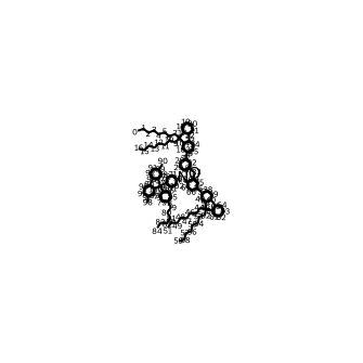 CCCCCCCCC1(CCCCCCCC)c2ccccc2-c2ccc(-c3ccc4c(c3)Oc3cc(-c5ccc6c(c5)C(CCCCCCCC)(CCCCCCCC)c5ccccc5-6)ccc3N4c3ccc(C4(c5ccc(CCCCCC)cc5)c5cc(C)ccc5-c5ccc(C)cc54)cc3)cc21